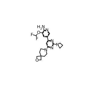 Nc1ncc(-c2cc(N3CCC4(CC3)COC4)nc(N3CCC3)n2)cc1OC(F)F